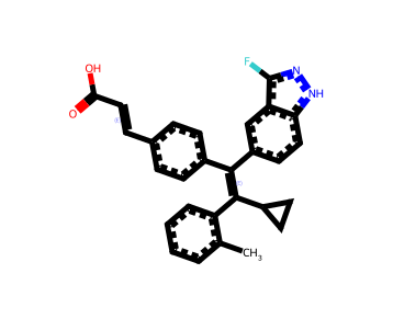 Cc1ccccc1/C(=C(\c1ccc(/C=C/C(=O)O)cc1)c1ccc2[nH]nc(F)c2c1)C1CC1